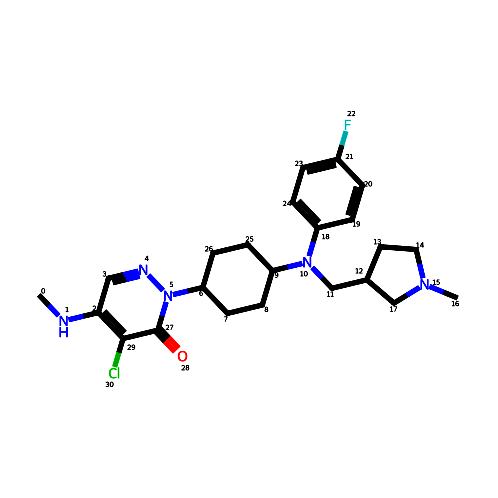 CNc1cnn(C2CCC(N(CC3CCN(C)C3)c3ccc(F)cc3)CC2)c(=O)c1Cl